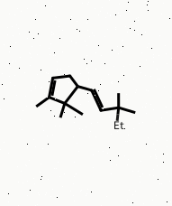 CCC(C)(C)/C=C/C1CC=C(C)C1(C)C